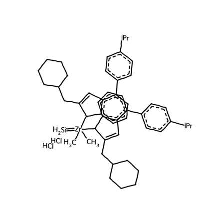 CC(C)c1ccc(-c2cccc3c2C=C(CC2CCCCC2)[CH]3[Zr]([CH3])([CH3])(=[SiH2])[CH]2C(CC3CCCCC3)=Cc3c(-c4ccc(C(C)C)cc4)cccc32)cc1.Cl.Cl